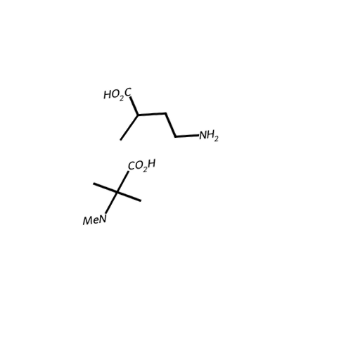 CC(CCN)C(=O)O.CNC(C)(C)C(=O)O